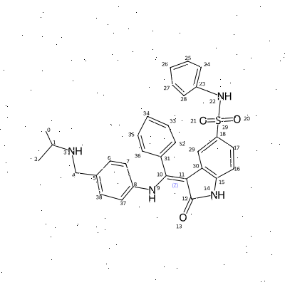 CC(C)NCc1ccc(N/C(=C2\C(=O)Nc3ccc(S(=O)(=O)Nc4ccccc4)cc32)c2ccccc2)cc1